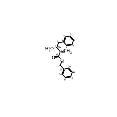 C[C@H](Cc1ccccc1)N(C)C(=O)OCc1ccccc1